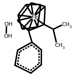 CC(C)[C]12[CH]3[CH]4[CH]5[C]1(c1ccccc1)[Fe]45321678[CH]2[CH]1[CH]6[CH]7[CH]28.OO